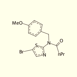 CCCC(=O)N(Cc1ccc(OC)cc1)c1ncc(Br)s1